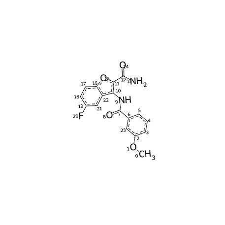 COc1cccc(C(=O)Nc2c(C(N)=O)oc3ccc(F)cc23)c1